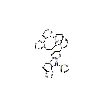 c1ccc(-n2c3cc4c(cc3c3ccc5ccccc5c32)C2(c3ccccc3-c3ccccc3-c3ccccc3-c3ccccc32)c2ccccc2-4)cc1